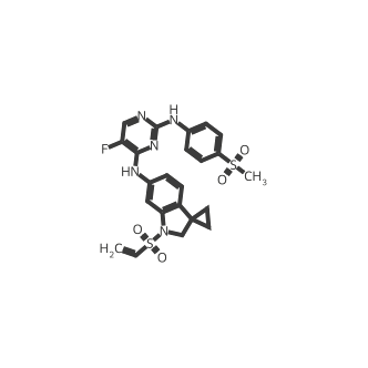 C=CS(=O)(=O)N1CC2(CC2)c2ccc(Nc3nc(Nc4ccc(S(C)(=O)=O)cc4)ncc3F)cc21